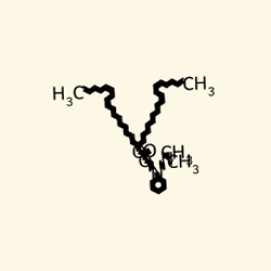 CCCCC/C=C\C/C=C\CCCCCCCCC(CCCCCCCC/C=C\C/C=C\CCCCC)OC(=O)OCCN(CCN(C)C)C1CCCCC1